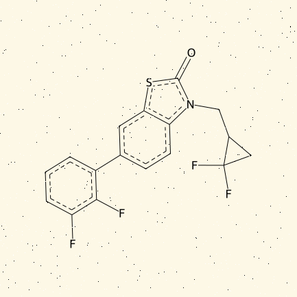 O=c1sc2cc(-c3cccc(F)c3F)ccc2n1CC1CC1(F)F